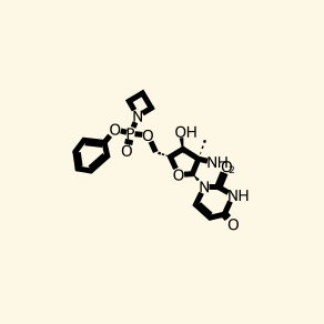 C[C@@]1(N)[C@H](O)[C@@H](COP(=O)(Oc2ccccc2)N2CCC2)O[C@H]1n1ccc(=O)[nH]c1=O